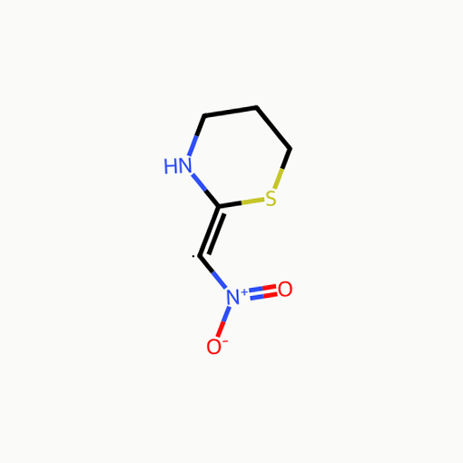 O=[N+]([O-])/[C]=C1/NCCCS1